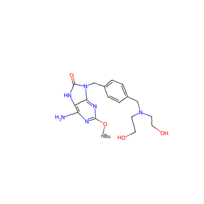 CCCCOc1nc(N)c2[nH]c(=O)n(Cc3ccc(CN(CCO)CCO)cc3)c2n1